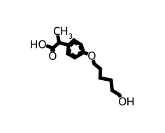 CC(C(=O)O)c1ccc(OCCCCCCO)cc1